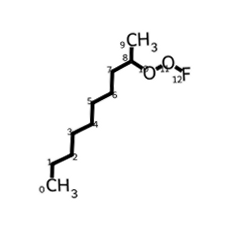 CCCCCCCCC(C)OOF